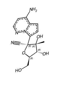 C[C@@]1(O)[C@H](O)[C@@H](CO)O[C@@]1(C#N)c1ccc2c(N)ccnn12